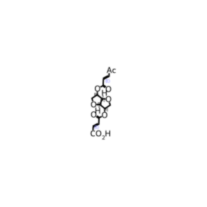 CC(=O)/C=C/C(=O)O[C@@H]1CO[C@H]2[C@@H]1OC[C@H]2OC(=O)/C=C/C(=O)O